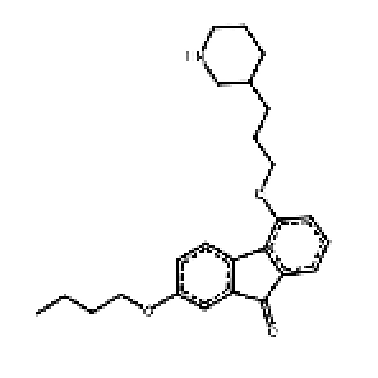 CCCCOc1ccc2c(c1)C(=O)c1cccc(OCCCC3CCCNC3)c1-2